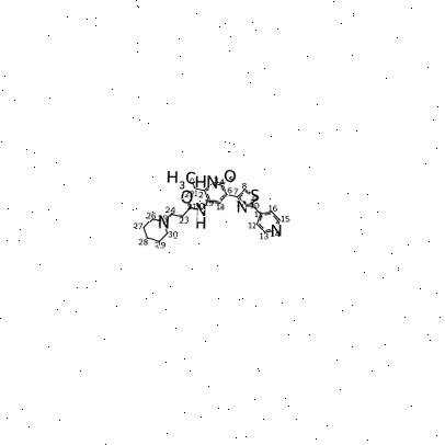 CCc1[nH]c(=O)c(-c2csc(-c3ccncc3)n2)cc1NC(=O)CCN1CCCCC1